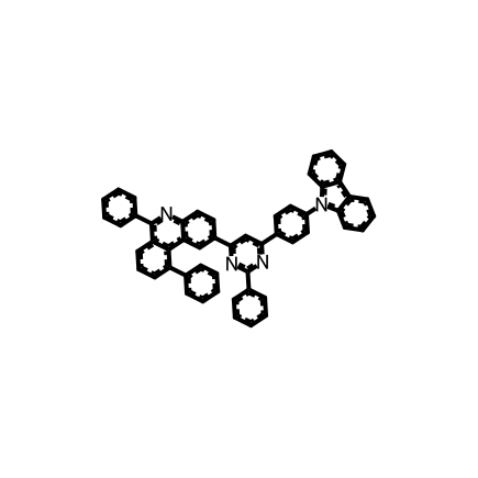 c1ccc(-c2nc(-c3ccc(-n4c5ccccc5c5ccccc54)cc3)cc(-c3ccc4nc(-c5ccccc5)c5cccc(-c6ccccc6)c5c4c3)n2)cc1